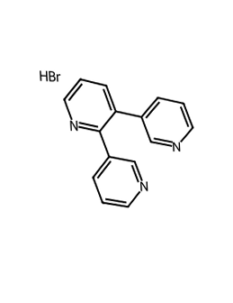 Br.c1cncc(-c2cccnc2-c2cccnc2)c1